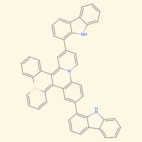 C1=CB2C(=C3C(=C4C=C(c5cccc6c5[nH]c5ccccc56)C=CN4c4ccc(-c5cccc6c5[nH]c5ccccc56)cc43)c3ccccc32)C=C1